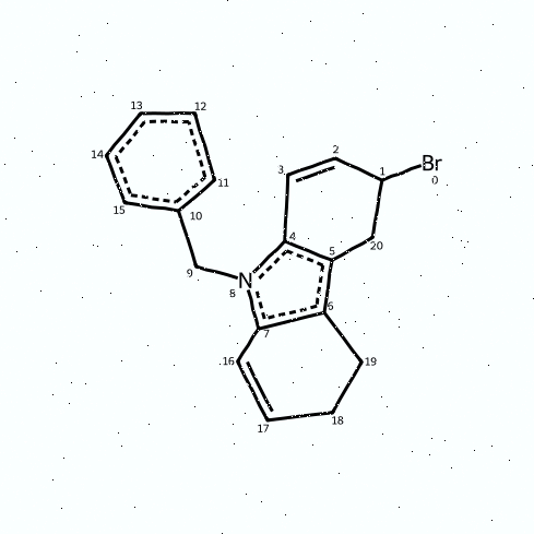 BrC1C=Cc2c(c3c(n2Cc2ccccc2)C=CCC3)C1